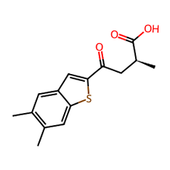 Cc1cc2cc(C(=O)C[C@H](C)C(=O)O)sc2cc1C